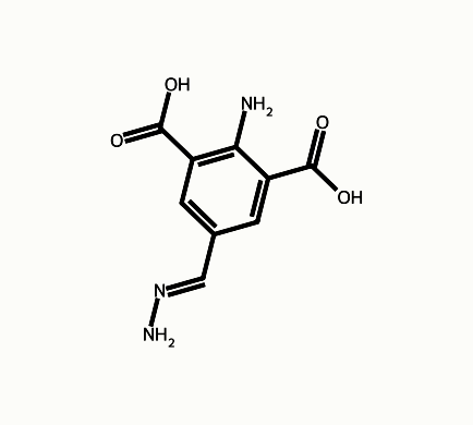 NN=Cc1cc(C(=O)O)c(N)c(C(=O)O)c1